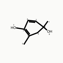 CC1=C(O)C=CC(C)(O)C1